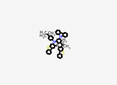 CC(C)(C)c1ccc(N2c3cc4sc5ccccc5c4cc3B3c4cc5c(cc4C(C)(C)c4cc(-n6c7ccccc7c7ccccc76)cc2c43)sc2ccccc25)cc1